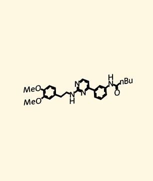 CCCCC(=O)Nc1cccc(-c2ccnc(NCCc3ccc(OC)c(OC)c3)n2)c1